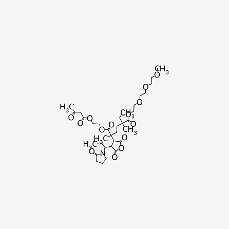 CCC(C1C(=O)OC(=O)C1C(C)(CCC(C)(CC)C(=O)OCCOCCOCCOC)C(=O)OCCOC(=O)CC(C)=O)N1CCCC1=O